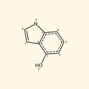 Oc1cccc2c1C=C[N]2